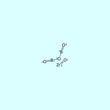 O=BOB=O.[O]=[Zr]